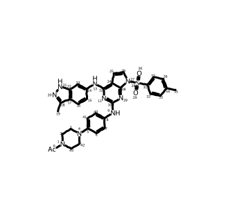 CC(=O)N1CCN(c2ccc(Nc3nc(Nc4ccc5c(C)n[nH]c5c4)c4ccn(S(=O)(=O)c5ccc(C)cc5)c4n3)cc2)CC1